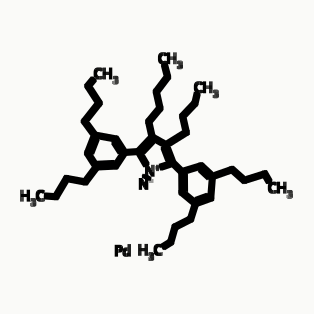 CCCCCC1=C(c2cc(CCCC)cc(CCCC)c2)[N+](=[N-])C(c2cc(CCCC)cc(CCCC)c2)=C1CCCC.[Pd]